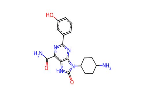 NC(=O)c1nc(-c2cccc(O)c2)nc2c1[nH]c(=O)n2C1CCC(N)CC1